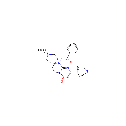 CCOC(=O)N1CCC2(C=Cn3c(nc(-c4ccncn4)cc3=O)N2C[C@@H](O)c2ccccc2)CC1